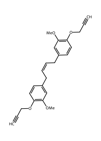 C#CCOc1ccc(C/C=C\Cc2ccc(OCC#C)c(OC)c2)cc1OC